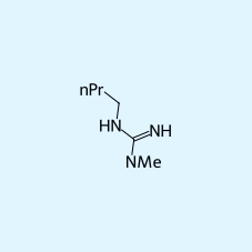 [CH2]CCCNC(=N)NC